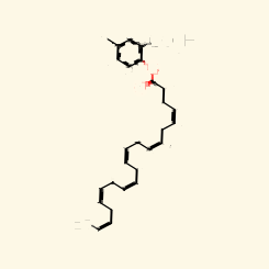 CC/C=C\C/C=C\C/C=C\C/C=C\C/C=C\C/C=C\CCC(=O)Oc1ccc(C)cc1C(=O)O